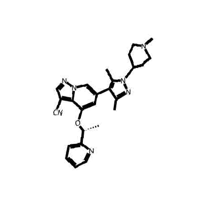 Cc1nn(C2CCN(C)CC2)c(C)c1-c1cc(O[C@H](C)c2ccccn2)c2c(C#N)cnn2c1